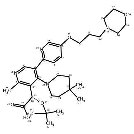 Cc1ncc(-c2ccc(OCCCN3CCOCC3)cn2)c(N2CCC(C)(C)CC2)c1[C@H](OC(C)(C)C)C(=O)O